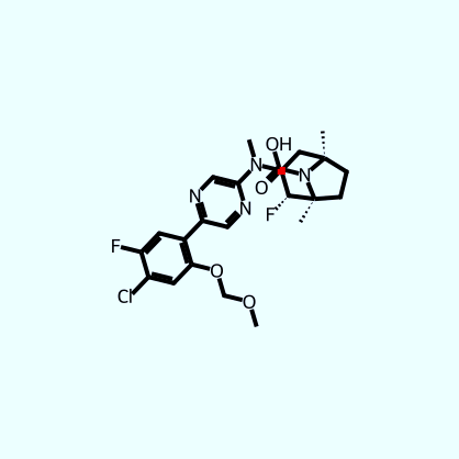 COCOc1cc(Cl)c(F)cc1-c1cnc(N(C)C2C[C@@]3(C)CC[C@@](C)([C@@H]2F)N3C(=O)O)cn1